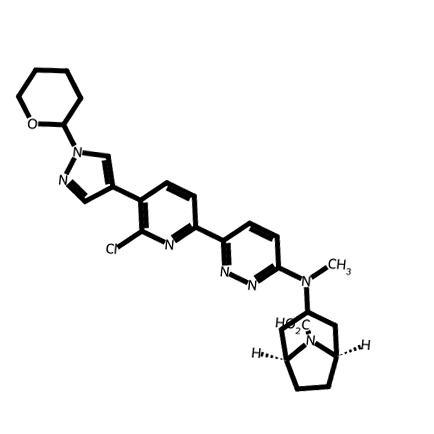 CN(c1ccc(-c2ccc(-c3cnn(C4CCCCO4)c3)c(Cl)n2)nn1)C1C[C@H]2CC[C@@H](C1)N2C(=O)O